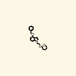 c1ccc(COc2cccc3c2ccn3CCOC2CCCCO2)cc1